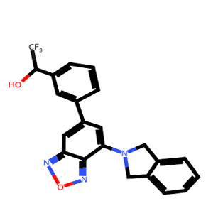 OC(c1cccc(-c2cc(N3Cc4ccccc4C3)c3nonc3c2)c1)C(F)(F)F